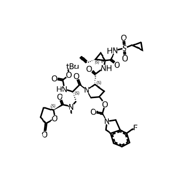 C=C[C@@H]1C[C@]1(NC(=O)[C@@H]1CC(OC(=O)N2Cc3cccc(F)c3C2)CN1C(=O)[C@H](CN(C)C(=O)[C@@H]1CCC(=O)O1)NC(=O)OC(C)(C)C)C(=O)NS(=O)(=O)C1CC1